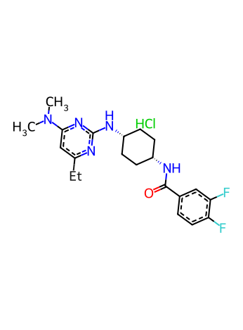 CCc1cc(N(C)C)nc(N[C@H]2CC[C@@H](NC(=O)c3ccc(F)c(F)c3)CC2)n1.Cl